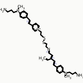 C=CC(/C=C/c1ccc(N(C)CCCN)cc1)=C\C=N\CCSSCC[n+]1ccc(/C=C/c2ccc(N(C)CCCN)cc2)cc1